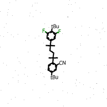 CC(C)(C)c1ccc(C(C)(C)CCC(C)(C)c2cc(F)c(C(C)(C)C)c(F)c2)c(C#N)c1